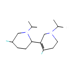 CC(C)N1CCC(F)=C(C2CCC(F)CN2C(C)C)C1